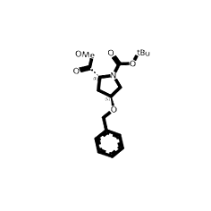 COC(=O)[C@H]1C[C@H](OCc2ccccc2)CN1C(=O)OC(C)(C)C